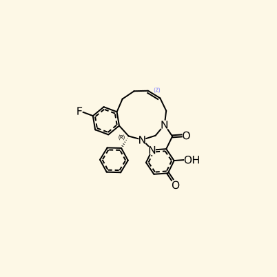 O=C1c2c(O)c(=O)ccn2N2CN1C/C=C\CCc1cc(F)ccc1[C@H]2c1ccccc1